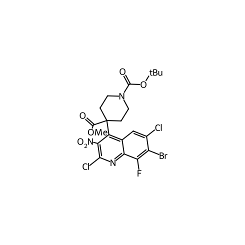 COC(=O)C1(c2c([N+](=O)[O-])c(Cl)nc3c(F)c(Br)c(Cl)cc23)CCN(C(=O)OC(C)(C)C)CC1